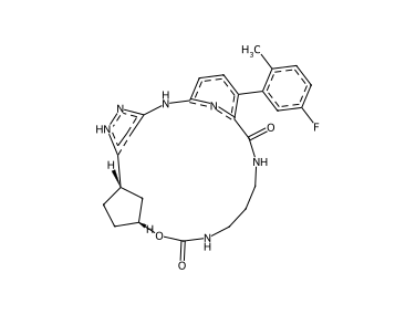 Cc1ccc(F)cc1-c1ccc2nc1C(=O)NCCCNC(=O)O[C@@H]1CC[C@@H](C1)c1cc(n[nH]1)N2